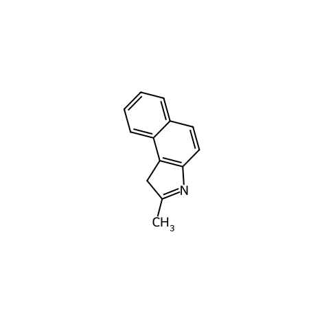 CC1=Nc2ccc3ccccc3c2C1